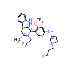 C[C@@H]1Cc2c([nH]c3ccccc23)[C@@H](c2ccc(N[C@@H]3CCN(CCCF)C3)cc2OC(F)(F)F)N1CC(F)(F)F